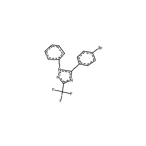 FC(F)(F)c1nc(-c2ccc(Br)cc2)n(-c2ccccc2)n1